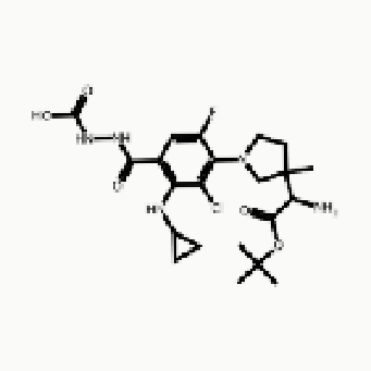 CC(C)(C)OC(=O)C(N)C1(C)CCN(c2c(F)cc(C(=O)NNC(=O)O)c(NC3CC3)c2Cl)C1